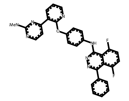 CNc1nccc(-c2cccnc2Oc2ccc(Nc3nnc(-c4ccccc4)c4c(F)ccc(F)c34)cc2)n1